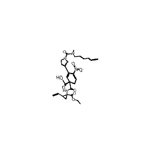 C=CCCCCN(C)C(=O)N1CCC(C2=CC(C(=O)O)(C(=O)NC3(C(=O)OCC)CC3C=C)CC=C2[N+](=O)[O-])C1